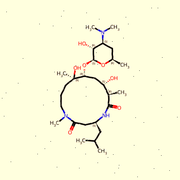 CC(C)C[C@H]1CC(=O)N(C)CCC[C@@](C)(O)[C@H](O[C@@H]2O[C@H](C)C[C@H](N(C)C)[C@H]2O)C[C@H](O)[C@@H](C)C(=O)N1